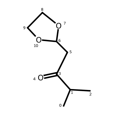 CC(C)C(=O)CC1OCCO1